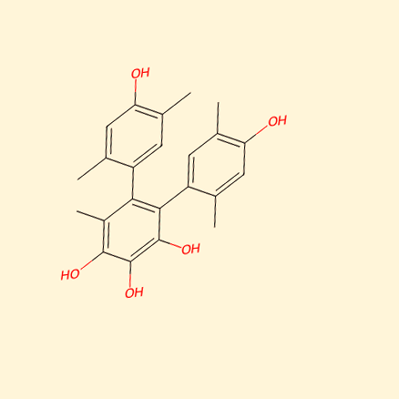 Cc1cc(-c2c(C)c(O)c(O)c(O)c2-c2cc(C)c(O)cc2C)c(C)cc1O